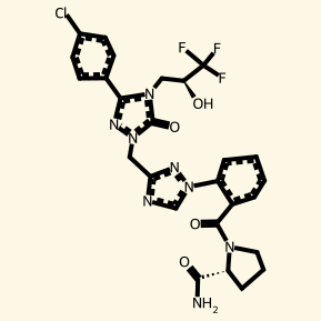 NC(=O)[C@H]1CCCN1C(=O)c1ccccc1-n1cnc(Cn2nc(-c3ccc(Cl)cc3)n(C[C@H](O)C(F)(F)F)c2=O)n1